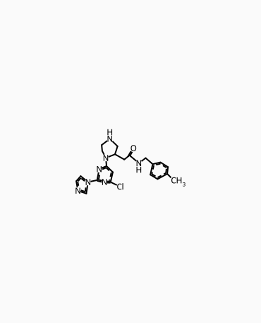 Cc1ccc(CNC(=O)CC2CNCCN2c2cc(Cl)nc(-n3ccnc3)n2)cc1